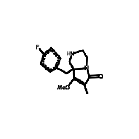 COC1=C(C)C(=O)N2CCNCC12Cc1ccc(F)cc1